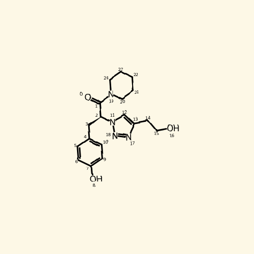 O=C([C@H](Cc1ccc(O)cc1)n1cc(CCO)nn1)N1CCCCC1